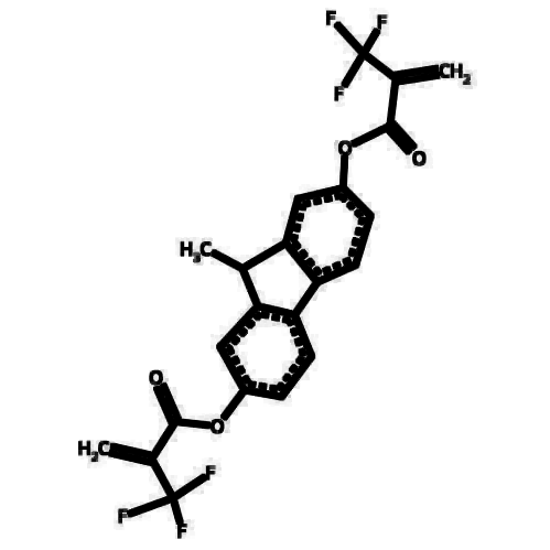 C=C(C(=O)Oc1ccc2c(c1)C(C)c1cc(OC(=O)C(=C)C(F)(F)F)ccc1-2)C(F)(F)F